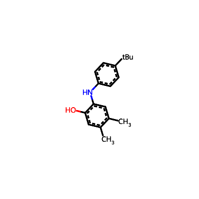 Cc1cc(O)c(Nc2ccc(C(C)(C)C)cc2)cc1C